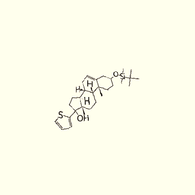 CC(C)(C)[Si](C)(C)OC1CC[C@@]2(C)C(=CC[C@@H]3[C@H]2CC[C@@]2(C)[C@H]3CCC2(O)c2cccs2)C1